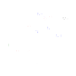 COC(=O)C1CNCCN1C(=O)c1nc(-c2ccc(OC(F)F)c(OCC3CC3)c2)oc1[C@H](C)N